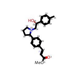 COC(=O)/C=C/c1ccc(C2CCCN2C[C@@H](O)c2ccc(C)cc2)cc1